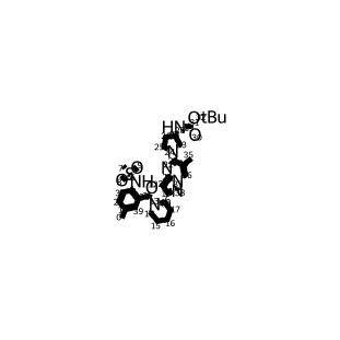 Cc1ccc(NS(C)(=O)=O)c(C(=O)N2CCCC[C@H]2c2cc3nc(N4CC[C@H](NC(=O)OC(C)(C)C)C4)c(C)cn3n2)c1